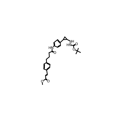 COC(=O)/C=C/c1ccc(CCCC(=O)Nc2ccc(C3CC3NNC(=O)OC(C)(C)C)cc2)cc1